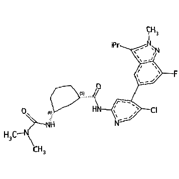 CC(C)c1c2cc(-c3cc(NC(=O)[C@H]4CCC[C@@H](NC(=O)N(C)C)C4)ncc3Cl)cc(F)c2nn1C